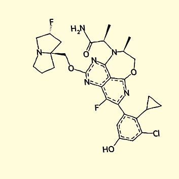 C[C@H](C(N)=O)N1c2nc(OC[C@@]34CCCN3C[C@H](F)C4)nc3c(F)c(-c4cc(O)cc(Cl)c4C4CC4)nc(c23)OC[C@@H]1C